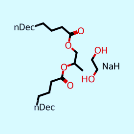 CCCCCCCCCCCCCC(=O)OCC(C)OC(=O)CCCCCCCCCCCCC.OCCO.[NaH]